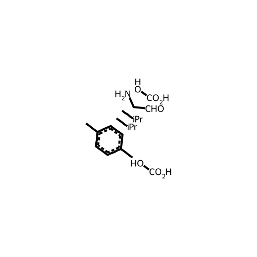 CC(C)C.CC(C)C.Cc1ccc(C)cc1.NCC=O.O=C(O)O.O=C(O)O